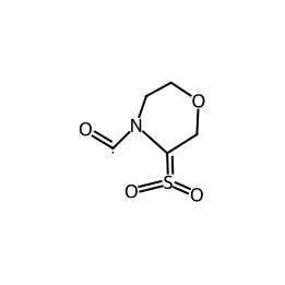 O=[C]N1CCOCC1=S(=O)=O